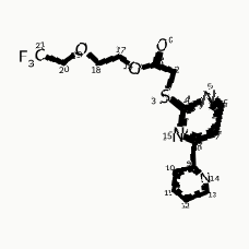 O=C(CSc1nccc(-c2ccccn2)n1)OCCOCC(F)(F)F